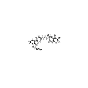 COc1ccc2cccc(N3CCN(CCCCC(O)c4ccc5c(n4)NC(=O)CC5)CC3)c2c1